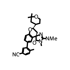 CNC1=N[C@]2(C[C@H](C3CCOC(C)(C)C3)Oc3ccc(-c4cc(C#N)ccc4C)cc32)C(=O)N1C